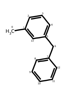 Cc1cccc(Cc2cc[c]cc2)c1